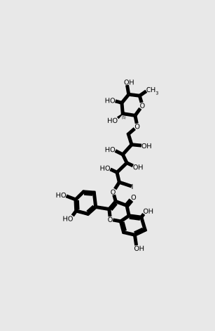 CC1OC(OCC(O)C(O)C(O)C(O)C(I)Oc2c(-c3ccc(O)c(O)c3)oc3cc(O)cc(O)c3c2=O)[C@@H](O)C(O)C1O